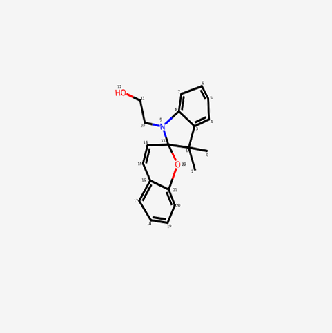 CC1(C)c2ccccc2N(CCO)C12C=Cc1ccccc1O2